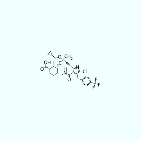 CC(C)(C#Cc1nc(Cl)n(Cc2ccc(C(F)(F)F)cc2)c1C(=O)NC[C@H]1CC[C@H](C(=O)O)CC1)OCC1CC1